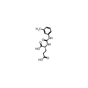 Cc1cccc(NC(=O)N[C@@H](CCC(=O)O)C(=O)O)c1